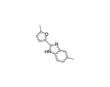 Cc1ccc2[nH]c(-c3ccc(C)o3)nc2c1